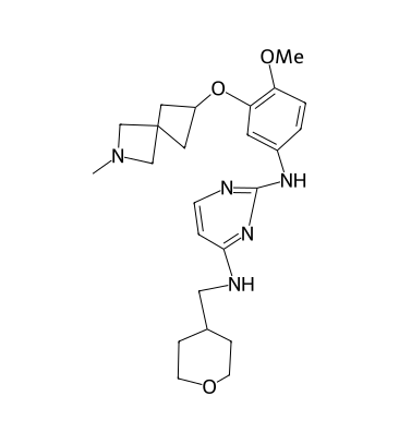 COc1ccc(Nc2nccc(NCC3CCOCC3)n2)cc1OC1CC2(C1)CN(C)C2